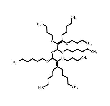 CCCCCCOC(OC(OCCCCCC)C(OCCCC)=C(CCCCC)OCCCC)C(OCCCC)=C(CCCCC)OCCCC